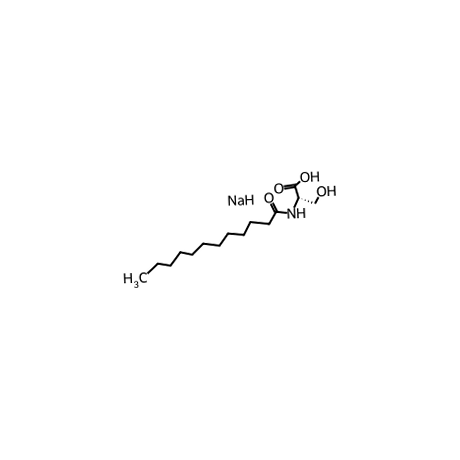 CCCCCCCCCCCC(=O)N[C@@H](CO)C(=O)O.[NaH]